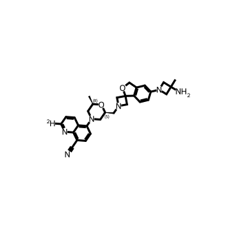 [2H]c1ccc2c(N3C[C@H](CN4CC5(C4)OCc4cc(N6CC(C)(N)C6)ccc45)O[C@H](C)C3)ccc(C#N)c2n1